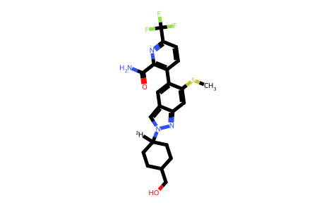 [2H]C1(n2cc3cc(-c4ccc(C(F)(F)F)nc4C(N)=O)c(SC)cc3n2)CCC(CO)CC1